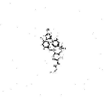 CC(C)(C)c1nnc(-c2cc3c(cc2F)S(=O)(=O)C=C(NC(=O)CCCN)C(=O)N3Cc2ccc(Cl)cc2)o1